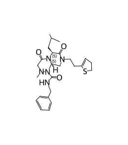 CC(C)C[C@H]1C(=O)N(CCC2=CCCS2)C[C@H]2N1C(=O)CN(C)N2C(=O)NCc1ccccc1